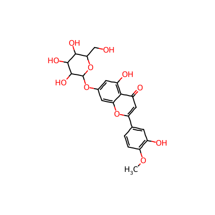 COc1ccc(-c2cc(=O)c3c(O)cc(OC4OC(CO)C(O)C(O)C4O)cc3o2)cc1O